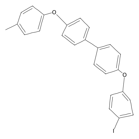 Cc1ccc(Oc2ccc(-c3ccc(Oc4ccc(I)cc4)cc3)cc2)cc1